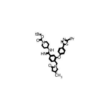 CC(C)c1nnc(-c2ccc(Oc3cc(C(=N)NC4CCN(C(=O)OC(C)(C)C)CC4)ccc3CN3C[C@@H](C)CC3=O)cc2)s1